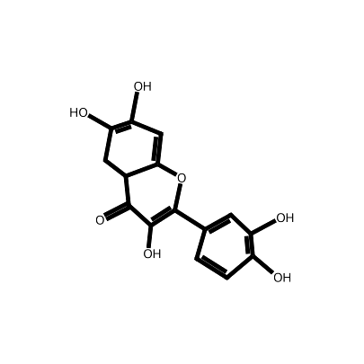 O=C1C(O)=C(c2ccc(O)c(O)c2)OC2=CC(O)=C(O)CC12